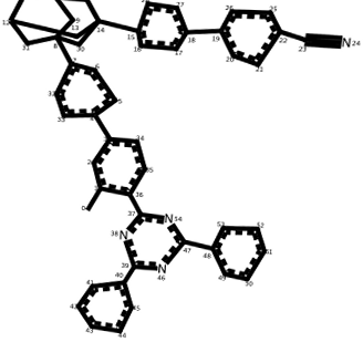 Cc1cc(-c2ccc(C34CC5CC(CC(c6ccc(-c7ccc(C#N)cc7)cc6)(C5)C3)C4)cc2)ccc1-c1nc(-c2ccccc2)nc(-c2ccccc2)n1